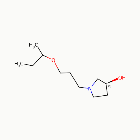 CCC(C)OCCCN1CC[C@H](O)C1